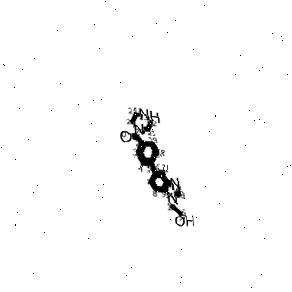 O=C(c1ccc(-c2ccc3c(c2)ncn3CCO)cc1)N1CCNCC1